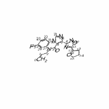 C=CCn1c(=O)c2c(-c3noc(C4CCCO4)n3)ncn2c2ccc(F)cc21